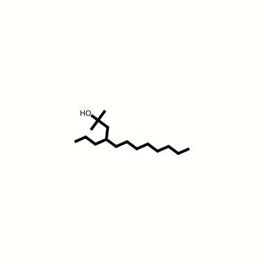 CCCCCCCCC(CCC)CC(C)(C)O